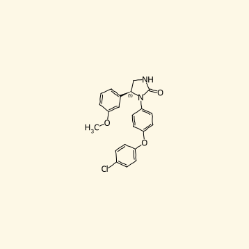 COc1cccc([C@H]2CNC(=O)N2c2ccc(Oc3ccc(Cl)cc3)cc2)c1